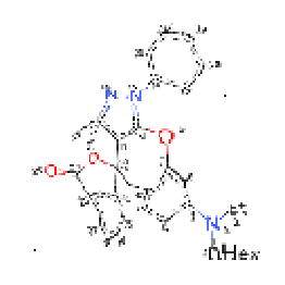 CCCCCCN(CC)c1ccc2c(c1)Oc1c(c(C)nn1-c1ccccc1)C21OC(=O)c2ccccc21